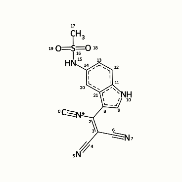 [C-]#[N+]C(=C(C#N)C#N)c1c[nH]c2ccc(NS(C)(=O)=O)cc12